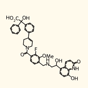 COc1c(CNCC(O)c2ccc(O)c3[nH]c(=O)ccc23)ccc(C(=O)N2CC=C(c3cccc(C(O)(C(=O)O)c4ccccc4)c3)CC2)c1F